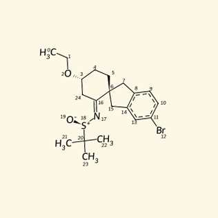 CCO[C@@H]1CC[C@]2(Cc3ccc(Br)cc3C2)/C(=N/[S@+]([O-])C(C)(C)C)C1